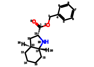 O=C(OCc1ccccc1)[C@H]1C[C@@H]2CCCC[C@H]2N1